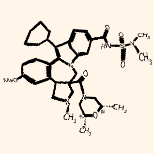 COc1ccc2c(c1)C1CN(C)CC1(C(=O)N1C[C@@H](C)O[C@@H](C)C1)Cn1c-2c(C2CCCCC2)c2ccc(C(=O)NS(=O)(=O)N(C)C)cc21